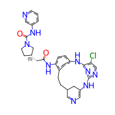 O=C(C[C@@H]1CCN(C(=O)Nc2cccnc2)C1)Nc1ccc2cc1CCC1C=NC=C(C1)Nc1ncc(Cl)c(n1)N2